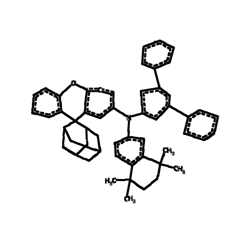 CC1(C)CCC(C)(C)c2cc(N(c3cc(-c4ccccc4)cc(-c4ccccc4)c3)c3ccc4c(c3)C3(c5ccccc5O4)C4CC5CC(C4)CC3C5)ccc21